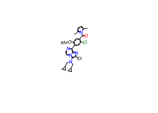 CCc1nc2c(-c3cc(Cl)c(C(=O)n4c(C)ccc4C)cc3OC)nccn2c1N(CC1CC1)CC1CC1